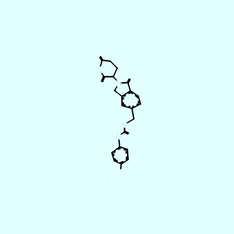 O=C1CCC(N2Cc3cc(CNC(=O)Nc4ccc(OC(F)(F)F)cc4)ccc3C2=O)C(=O)N1